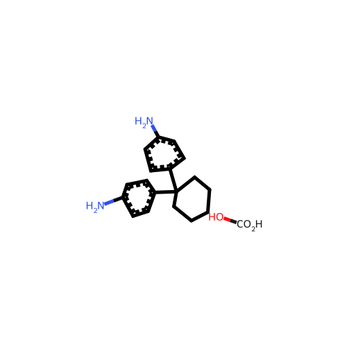 Nc1ccc(C2(c3ccc(N)cc3)CCCCC2)cc1.O=C(O)O